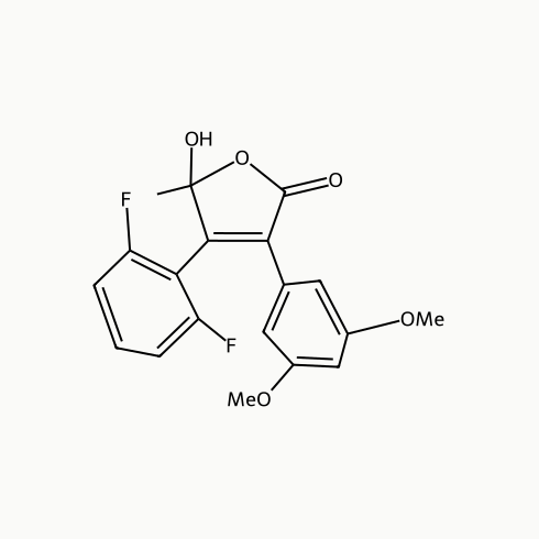 COc1cc(OC)cc(C2=C(c3c(F)cccc3F)C(C)(O)OC2=O)c1